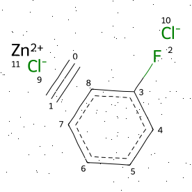 C#C.Fc1ccccc1.[Cl-].[Cl-].[Zn+2]